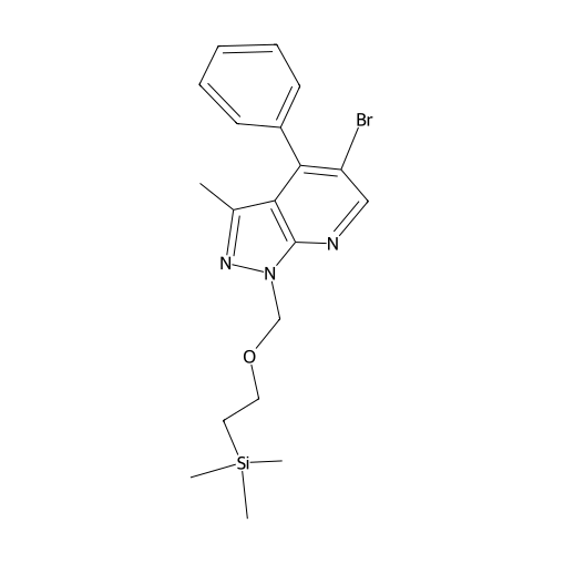 Cc1nn(COCC[Si](C)(C)C)c2ncc(Br)c(-c3ccccc3)c12